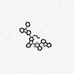 C=C/C=C\c1cc2c(cc1-c1ccc3c(c1)c1ccccc1n3-c1ccccc1)c1ccccc1n2-c1nc(-c2cccc3c2oc2ccccc23)c2ccccc2n1